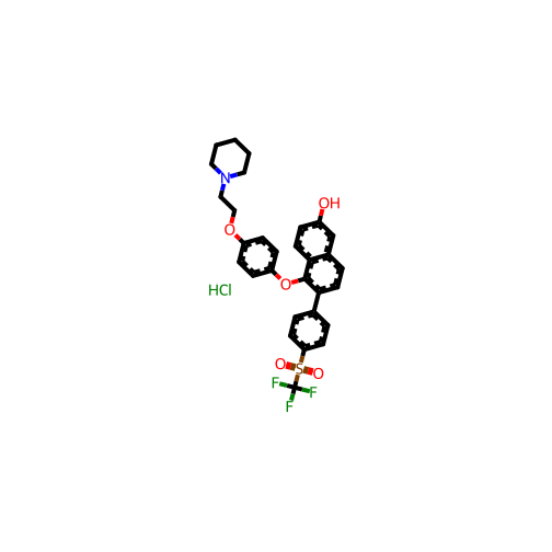 Cl.O=S(=O)(c1ccc(-c2ccc3cc(O)ccc3c2Oc2ccc(OCCN3CCCCC3)cc2)cc1)C(F)(F)F